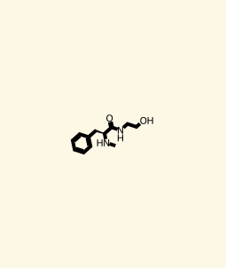 CN[C@@H](Cc1ccccc1)C(=O)NCCO